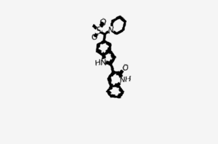 CS(=O)(=O)C(c1ccc2[nH]c(-c3cc4ccccc4[nH]c3=O)cc2c1)N1CCCCC1